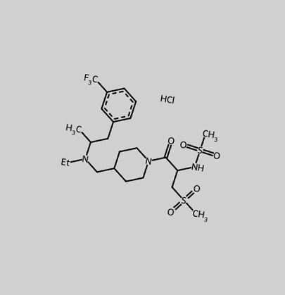 CCN(CC1CCN(C(=O)C(CS(C)(=O)=O)NS(C)(=O)=O)CC1)C(C)Cc1cccc(C(F)(F)F)c1.Cl